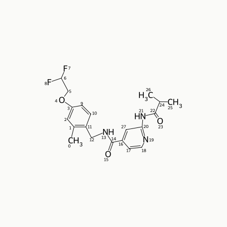 Cc1cc(OCC(F)F)ccc1CNC(=O)c1ccnc(NC(=O)C(C)C)c1